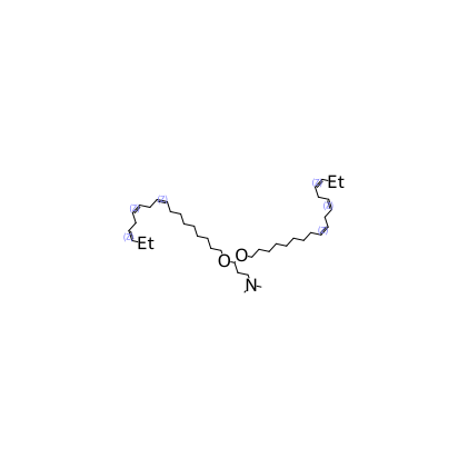 CC/C=C\C/C=C\C/C=C\CCCCCCCCOC(CCN(C)C)OCCCCCCCC/C=C\C/C=C\C/C=C\CC